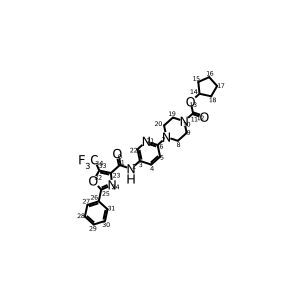 O=C(Nc1ccc(N2CCN(C(=O)OC3CCCC3)CC2)nc1)c1nc(-c2ccccc2)oc1C(F)(F)F